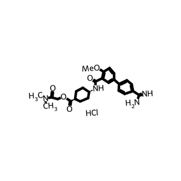 COc1ccc(-c2ccc(C(=N)N)cc2)cc1C(=O)N[C@H]1CC[C@H](C(=O)OCC(=O)N(C)C)CC1.Cl